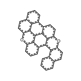 c1ccc2c(c1)ccc1oc3ccc4c5cccc6ccc7oc8cccc9c8c(c7c65)c4c3c9c12